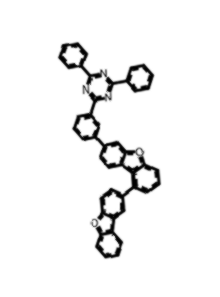 c1ccc(-c2nc(-c3ccccc3)nc(-c3cccc(-c4ccc5c(c4)oc4cccc(-c6ccc7oc8ccccc8c7c6)c45)c3)n2)cc1